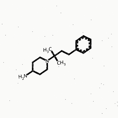 CC(C)(CCc1ccccc1)N1CCC(N)CC1